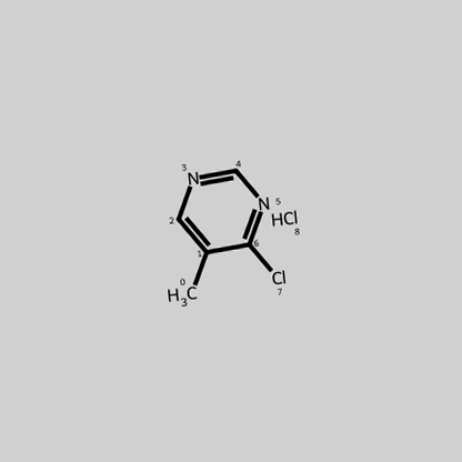 Cc1cncnc1Cl.Cl